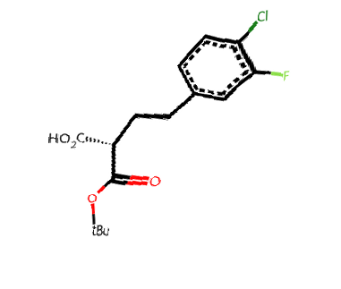 CC(C)(C)OC(=O)[C@@H](CCc1ccc(Cl)c(F)c1)C(=O)O